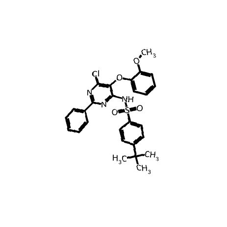 COc1ccccc1Oc1c(Cl)nc(-c2ccccc2)nc1NS(=O)(=O)c1ccc(C(C)(C)C)cc1